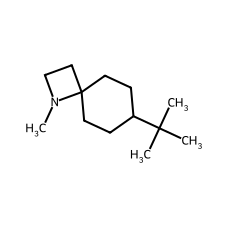 CN1CCC12CCC(C(C)(C)C)CC2